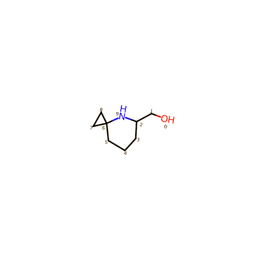 OCC1CCCC2(CC2)N1